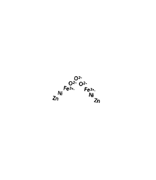 [Fe+3].[Fe+3].[Ni].[Ni].[O-2].[O-2].[O-2].[Zn].[Zn]